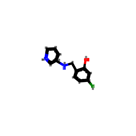 Oc1cc(Cl)ccc1CNc1cccnc1